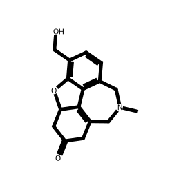 CN1CC2=C3c4c(ccc(CO)c4OC3CC(=O)C2)C1